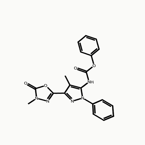 Cc1c(-c2nn(C)c(=O)o2)nn(-c2ccccc2)c1NC(=O)Oc1ccccc1